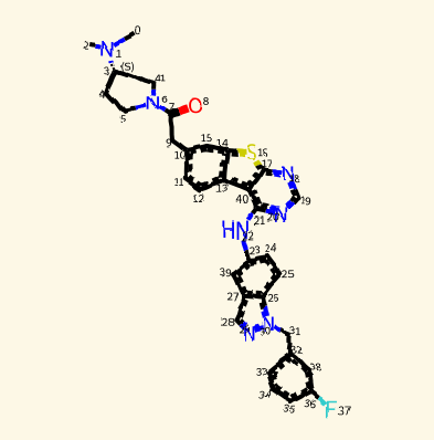 CN(C)[C@H]1CCN(C(=O)Cc2ccc3c(c2)sc2ncnc(Nc4ccc5c(cnn5Cc5cccc(F)c5)c4)c23)C1